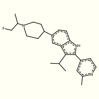 Cc1cc(-c2[nH]c3ccc(C4CCN(C(C)CF)CC4)cc3c2C(C)C)ccn1